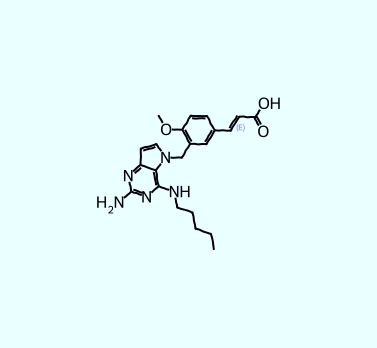 CCCCCNc1nc(N)nc2ccn(Cc3cc(/C=C/C(=O)O)ccc3OC)c12